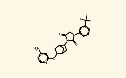 Nc1cc(OC2CC3CC2CC3N2C(=O)CN(c3cccc(C(F)(F)F)c3)C2=O)ncn1